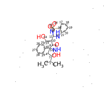 CC(C)CCC1(NO)C(=O)C(C2=NS(=O)(=O)c3c[c]ccc3N2)=C(O)c2ccccc21